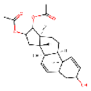 CC(=O)OC1C[C@H]2[C@@H]3C=CC4CC(O)C=C[C@]4(C)[C@@H]3CC[C@]2(C)C1OC(C)=O